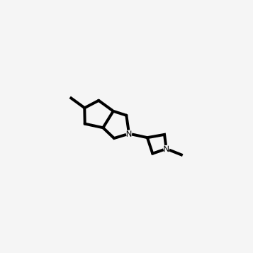 CC1CC2CN(C3CN(C)C3)CC2C1